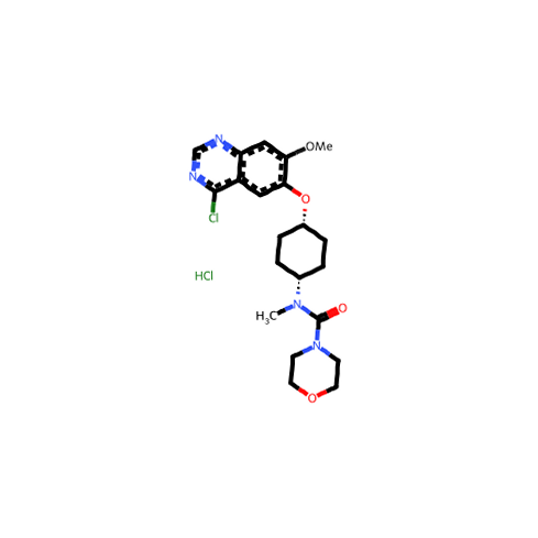 COc1cc2ncnc(Cl)c2cc1O[C@H]1CC[C@@H](N(C)C(=O)N2CCOCC2)CC1.Cl